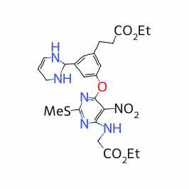 CCOC(=O)CCc1cc(Oc2nc(SC)nc(NCC(=O)OCC)c2[N+](=O)[O-])cc(C2NC=CCN2)c1